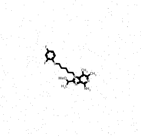 COC(C)c1nc2c(N)nc(C)c(C)c2n1CCCCCSc1ccc(F)cc1F